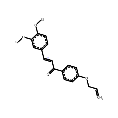 C=CCOc1ccc(C(=O)/C=C/c2ccc(OCC)c(OCC)c2)cc1